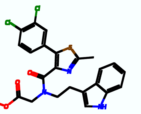 COC(=O)CN(CCc1c[nH]c2ccccc12)C(=O)c1nc(C)sc1-c1ccc(Cl)c(Cl)c1